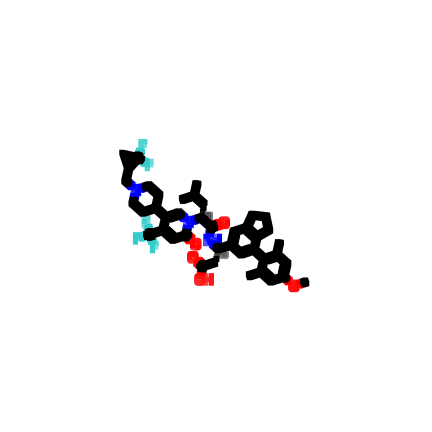 COc1cc(C)c(-c2cc([C@H](CC(=O)O)NC(=O)[C@@H](CC(C)C)n3cc(C4CCN(CC5CC5(F)F)CC4)c(C(F)(F)F)cc3=O)cc3c2CCC3)c(C)c1